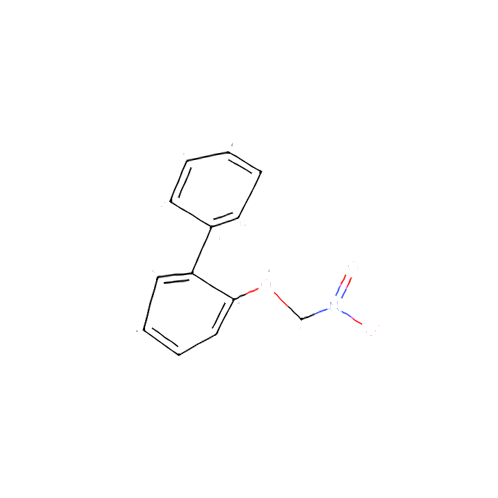 O=[N+]([O-])COc1ccccc1-c1ccccc1